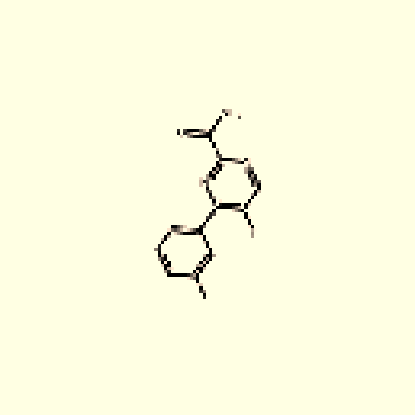 NC(=O)c1ncc(Cl)c(-c2cncc(F)c2)n1